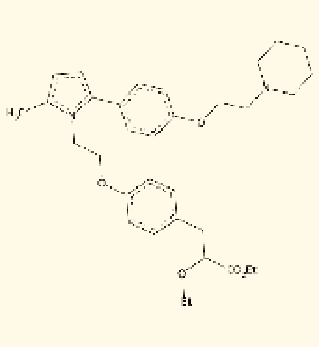 CCOC(=O)C(Cc1ccc(OCCn2c(C)ccc2-c2ccc(OCCN3CCCCC3)cc2)cc1)OCC